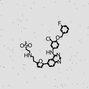 CS(=O)(=O)CCNCCc1ccc(-c2ccc3ncnc(Nc4ccc(OCc5cccc(F)c5)c(Cl)c4)c3c2)o1